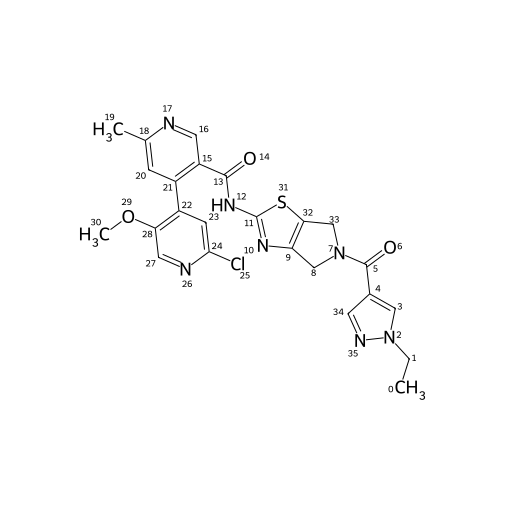 CCn1cc(C(=O)N2Cc3nc(NC(=O)c4cnc(C)cc4-c4cc(Cl)ncc4OC)sc3C2)cn1